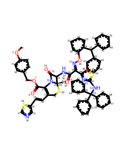 COc1ccc(COC(=O)C2=C(C=Cc3cncs3)CS[C@H]3C(NC(=O)C(=NOc4ccccc4C(c4ccccc4)c4ccccc4)c4csc(NC(c5ccccc5)(c5ccccc5)c5ccccc5)n4)C(=O)N23)cc1